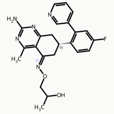 Cc1nc(N)nc2c1/C(=N/OCC(C)O)C[C@@H](c1ccc(F)cc1-c1cccnc1)C2